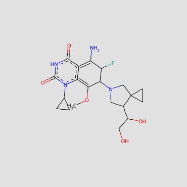 COC1=c2c(c(=O)[nH]c(=O)n2C2CC2)=C(N)C(F)C1N1CC(C(O)CO)C2(CC2)C1